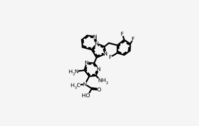 CN(C(=O)O)c1c(N)nc(-c2nc(Cc3c(F)ccc(F)c3F)n3ncccc23)nc1N